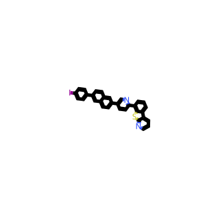 Ic1ccc(-c2ccc3cc(-c4ccc(-c5cccc6c5sc5ncccc56)nc4)ccc3c2)cc1